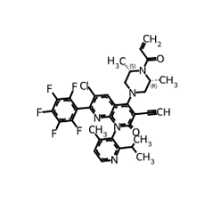 C#Cc1c(N2C[C@@H](C)N(C(=O)C=C)[C@@H](C)C2)c2cc(Cl)c(-c3c(F)c(F)c(F)c(F)c3F)nc2n(-c2c(C)ccnc2C(C)C)c1=O